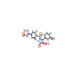 O=C1CN(C(=O)c2c(F)cc(N3CCOCC3)cc2F)C(c2cccc(Br)c2)N1O